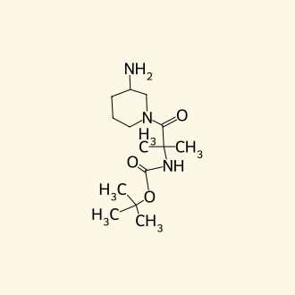 CC(C)(C)OC(=O)NC(C)(C)C(=O)N1CCCC(N)C1